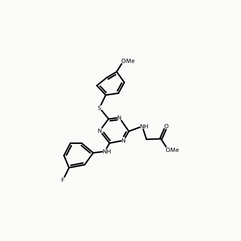 COC(=O)CNc1nc(Nc2cccc(F)c2)nc(Sc2ccc(OC)cc2)n1